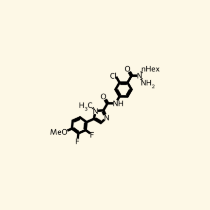 CCCCCCN(N)C(=O)c1ccc(NC(=O)c2ncc(-c3ccc(OC)c(F)c3F)n2C)cc1Cl